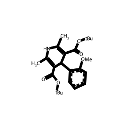 COc1ccccc1C1C(C(=O)OC(C)(C)C)=C(C)NC(C)=C1C(=O)OC(C)(C)C